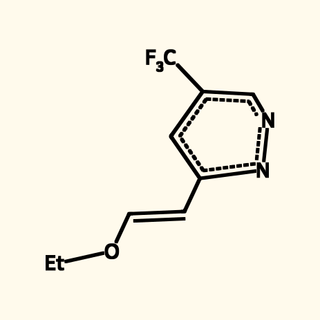 CCOC=Cc1cc(C(F)(F)F)cnn1